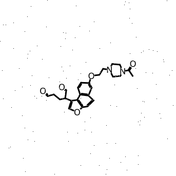 CC(=O)N1CCN(CCOc2ccc3c(ccc4occ(C(C=O)CCC=O)c43)c2)CC1